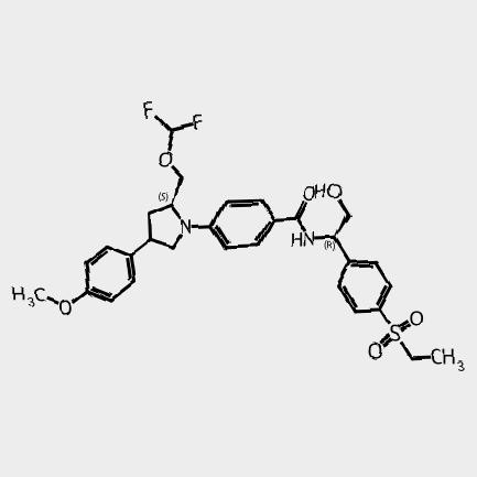 CCS(=O)(=O)c1ccc([C@H](CO)NC(=O)c2ccc(N3CC(c4ccc(OC)cc4)C[C@H]3COC(F)F)cc2)cc1